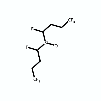 [O-][S+](C(F)CCC(F)(F)F)C(F)CCC(F)(F)F